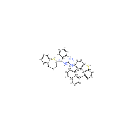 N/C(=N\C(=C1/CCCc2ccccc2S1)c1ccccc1)n1c2ccc3cccc4c3c2c2c3c(ccc21)sc1cccc-4c13